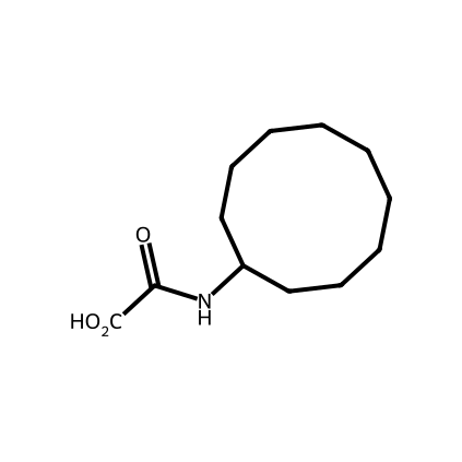 O=C(O)C(=O)NC1CCCCCCCCC1